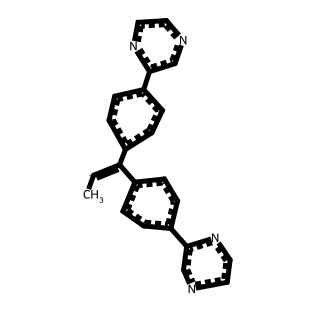 C[C]=C(c1ccc(-c2cnccn2)cc1)c1ccc(-c2cnccn2)cc1